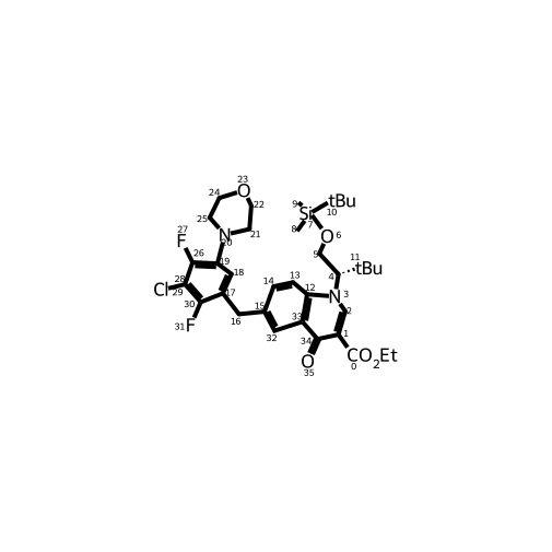 CCOC(=O)c1cn([C@H](CO[Si](C)(C)C(C)(C)C)C(C)(C)C)c2ccc(Cc3cc(N4CCOCC4)c(F)c(Cl)c3F)cc2c1=O